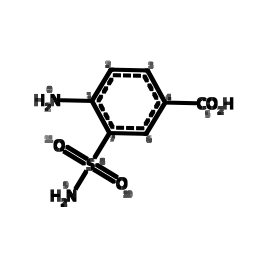 Nc1ccc(C(=O)O)cc1S(N)(=O)=O